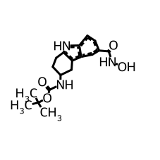 CC(C)(C)OC(=O)NC1CCc2[nH]c3ccc(C(=O)NO)cc3c2C1